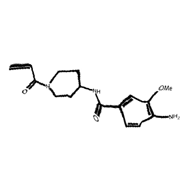 C=CC(=O)N1CCC(NC(=O)c2ccc(N)c(OC)c2)CC1